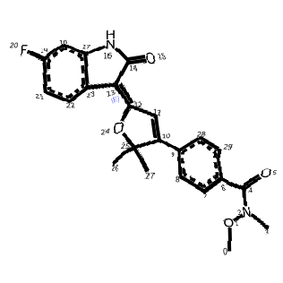 CON(C)C(=O)c1ccc(C2=C/C(=C3\C(=O)Nc4cc(F)ccc43)OC2(C)C)cc1